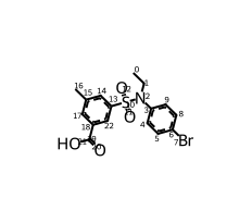 CCN(c1ccc(Br)cc1)S(=O)(=O)c1cc(C)cc(C(=O)O)c1